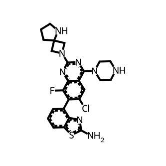 Nc1nc2c(-c3c(Cl)cc4c(N5CCNCC5)nc(N5CC6(CCCN6)C5)nc4c3F)cccc2s1